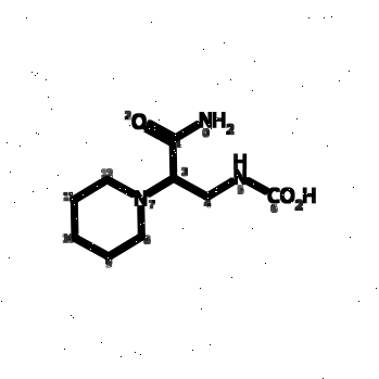 NC(=O)C(CNC(=O)O)N1CCCCC1